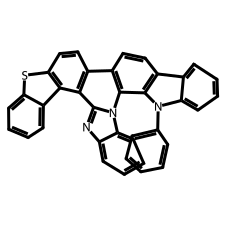 c1ccc(-n2c3ccccc3c3ccc4c5ccc6sc7ccccc7c6c5c5nc6ccccc6n5c4c32)cc1